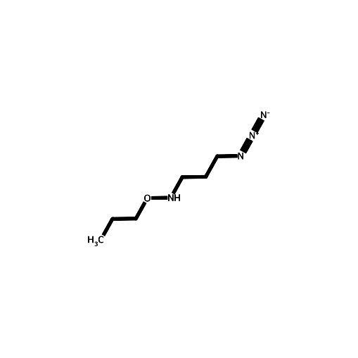 CCCONCCCN=[N+]=[N-]